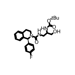 CC(C)(C)OC(=O)NC(CO)CNC(=O)N1CCc2ccccc2[C@@H]1c1ccc(F)cc1